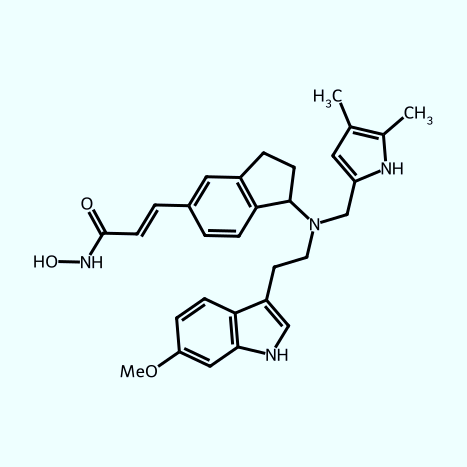 COc1ccc2c(CCN(Cc3cc(C)c(C)[nH]3)C3CCc4cc(C=CC(=O)NO)ccc43)c[nH]c2c1